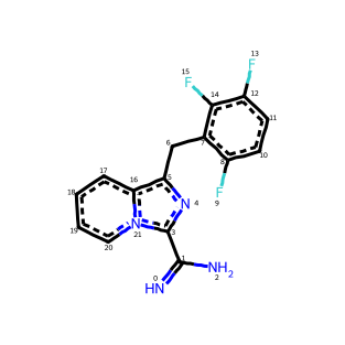 N=C(N)c1nc(Cc2c(F)ccc(F)c2F)c2ccccn12